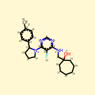 OC1(CNc2ncnc(N3CCCC3c3ccc(C(F)(F)F)cc3)c2F)CCCCCC1